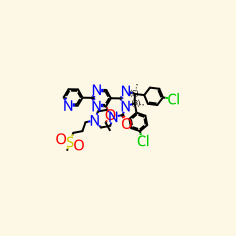 CCOc1nc(-c2cccnc2)ncc1C1=N[C@@](C)(C2C=CC(Cl)=CC2)[C@@](C)(c2ccc(Cl)cc2)N1C(=O)N1CCN(CCCS(C)(=O)=O)CC1